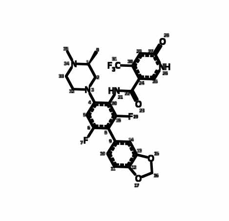 C[C@H]1CN(c2cc(F)c(-c3ccc4c(c3)OCO4)c(F)c2NC(=O)c2c[nH]c(=O)cc2C(F)(F)F)CCN1C